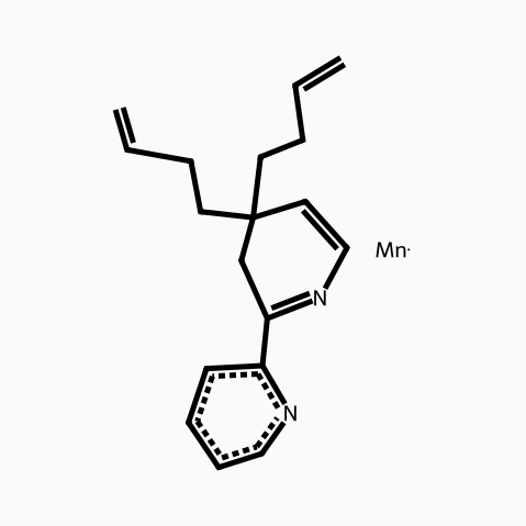 C=CCCC1(CCC=C)C=CN=C(c2ccccn2)C1.[Mn]